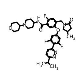 CC1CC(=O)N(Cc2cc(F)c(C(=O)NC3CCN(C4CCOCC4)CC3)cc2Oc2cc(F)c(-c3ccc(C(C)C)nn3)c(F)c2)C1